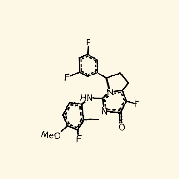 COc1ccc(Nc2nc(=O)c(F)c3n2C(c2cc(F)cc(F)c2)CC3)c(C)c1F